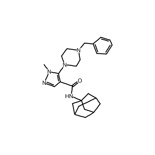 Cn1ncc(C(=O)NC23CC4CC(CC(C4)C2)C3)c1N1CCN(Cc2ccccc2)CC1